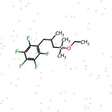 CCO[Si](C)(C)CC(C)Cc1c(F)c(F)c(F)c(F)c1F